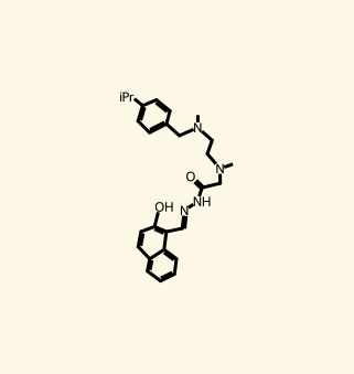 CC(C)c1ccc(CN(C)CCN(C)CC(=O)NN=Cc2c(O)ccc3ccccc23)cc1